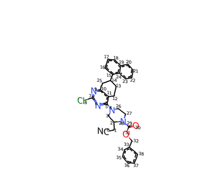 N#CCC1CN(c2nc(Cl)nc3c2CCC(c2cccc4ccccc24)C3)CCN1C(=O)OCc1ccccc1